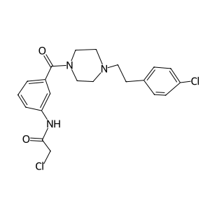 O=C(CCl)Nc1cccc(C(=O)N2CCN(CCc3ccc(Cl)cc3)CC2)c1